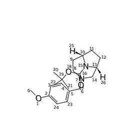 COc1ccc(CN2CC[C@@H]3CC[C@H](C2)N3C(=O)OC(C)(C)C)cc1